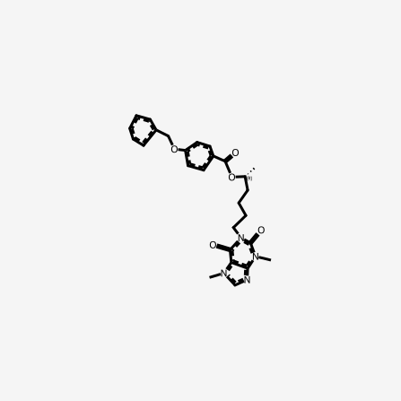 C[C@H](CCCCn1c(=O)c2c(ncn2C)n(C)c1=O)OC(=O)c1ccc(OCc2ccccc2)cc1